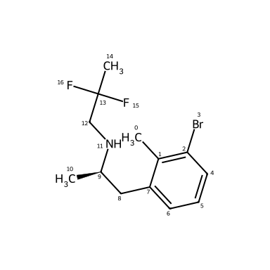 Cc1c(Br)cccc1C[C@@H](C)NCC(C)(F)F